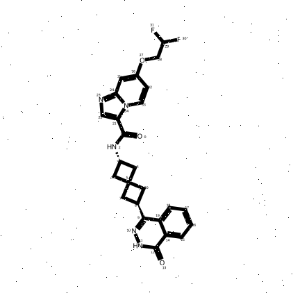 O=C(N[C@H]1CC2(C1)C[C@H](c1n[nH]c(=O)c3ccccc31)C2)c1cnc2cc(OCC(F)F)ccn12